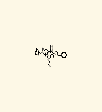 CCCCOc1nc(N2CCC=N2)ncc1NC(=O)OCc1ccccc1